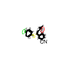 CC1(C)C=C(Sc2ccc(Cl)cc2)c2cc(C#N)ccc2O1